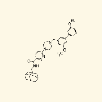 CCOc1cncc(-c2cc(CN3CCN(c4ccc(C(=O)NCC56CC7CC(CC(C7)C5)C6)nn4)CC3)cc(OC(F)(F)F)c2)c1